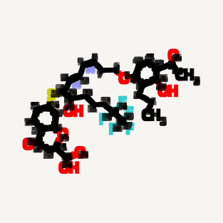 CCCc1c(OCC/C=C\C=C\[C@H](Sc2ccc3c(=O)cc(C(=O)O)oc3c2)[C@H](O)CCCC(F)(F)C(F)(F)F)ccc(C(C)=O)c1O